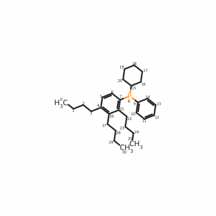 CCCCc1ccc(P(c2ccccc2)C2CCCCC2)c(CCCC)c1CCCC